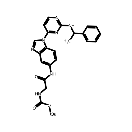 CC(Nc1nccc(-n2cnc3cc(NC(=O)CNC(=O)OC(C)(C)C)ccc32)n1)c1ccccc1